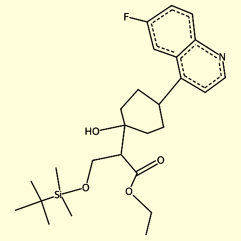 CCOC(=O)C(CO[Si](C)(C)C(C)(C)C)C1(O)CCC(c2ccnc3ccc(F)cc23)CC1